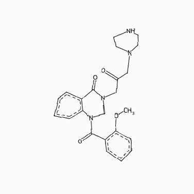 COc1ccccc1C(=O)N1CN(CC(=O)CN2CCNCC2)C(=O)c2ccccc21